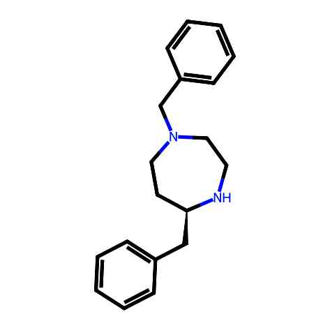 c1ccc(C[C@H]2CCN(Cc3ccccc3)CCN2)cc1